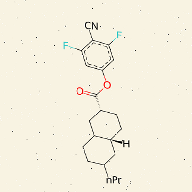 CCCC1CCC2C[C@H](C(=O)Oc3cc(F)c(C#N)c(F)c3)CC[C@@H]2C1